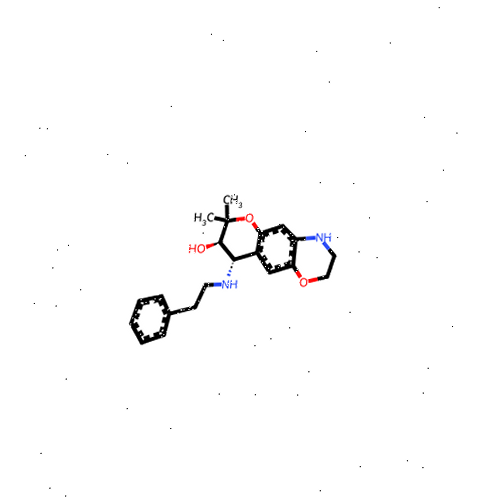 CC1(C)Oc2cc3c(cc2[C@H](NCCc2ccccc2)[C@H]1O)OCCN3